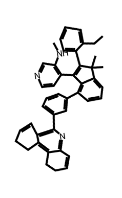 CCc1ccccc1C1=C(c2ccncc2NC)c2c(-c3cccc(-c4nc5c(c6c4C=CCC6)CCC=C5)c3)cccc2C1(C)C